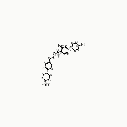 CCC[C@H]1CC[C@H](c2ccc(CCOC(F)(F)c3ccc([C@H]4CC[C@H](CC)CC4)cc3F)cc2)CC1